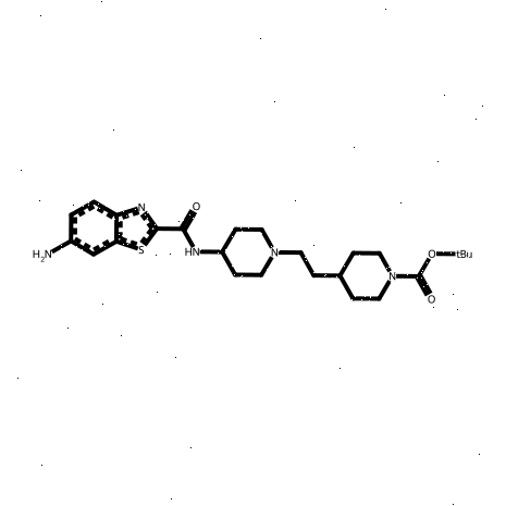 CC(C)(C)OC(=O)N1CCC(CCN2CCC(NC(=O)c3nc4ccc(N)cc4s3)CC2)CC1